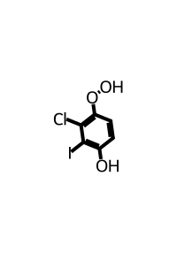 OOc1ccc(O)c(I)c1Cl